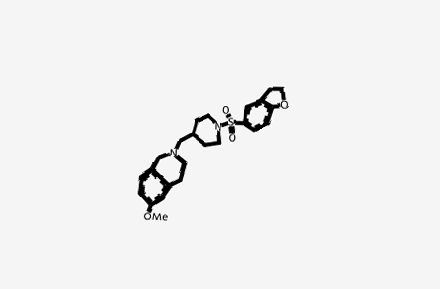 COc1ccc2c(c1)CCN(CC1CCN(S(=O)(=O)c3ccc4c(c3)CCO4)CC1)C2